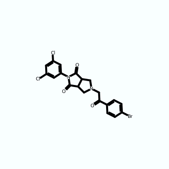 O=C(CN1CC2C(=O)N(c3cc(Cl)cc(Cl)c3)C(=O)C2C1)c1ccc(Br)cc1